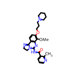 COc1c(OCCCN2CCCCC2)ccc2c1N=C(NC(=O)c1cccnc1C)N1CCN=C21